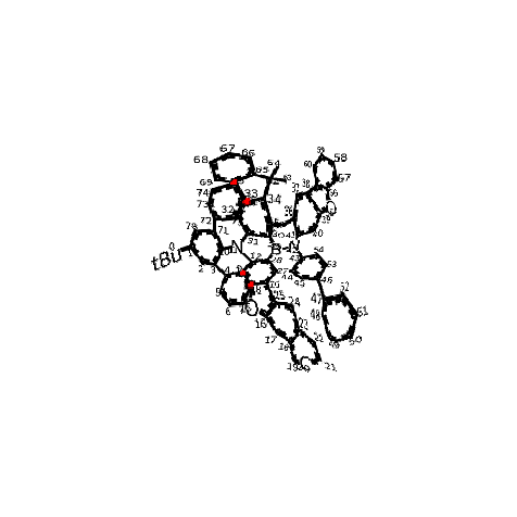 CC(C)(C)c1cc(-c2ccccc2)c(N2c3cc4oc5cc6ccccc6cc5c4cc3B3c4c2cc2c(c4-c4cc5c(cc4N3c3ccc(-c4ccccc4)cc3)oc3ccccc35)C(C)(C)c3ccccc3-2)c(-c2ccccc2)c1